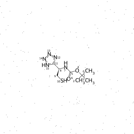 CC(C)(C)OC(=O)N[C@@H](CS)c1nnn[nH]1